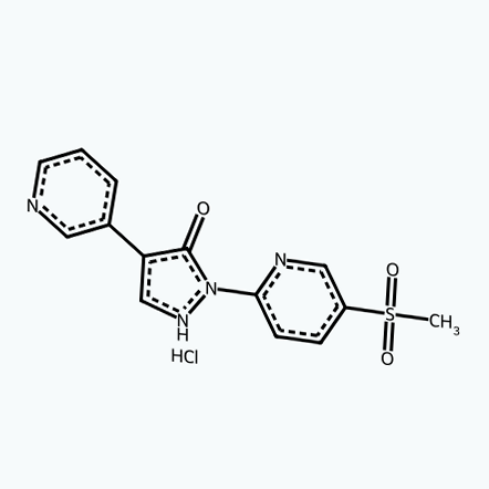 CS(=O)(=O)c1ccc(-n2[nH]cc(-c3cccnc3)c2=O)nc1.Cl